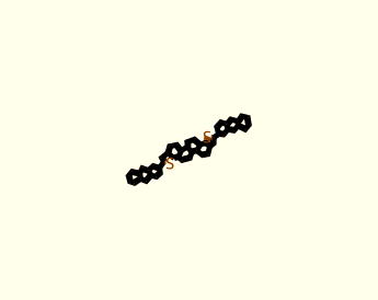 c1ccc2cc3cc(-c4cc5ccc6c7ccc8c(ccc9cc(-c%10ccc%11cc%12ccccc%12cc%11c%10)sc98)c7ccc6c5s4)ccc3cc2c1